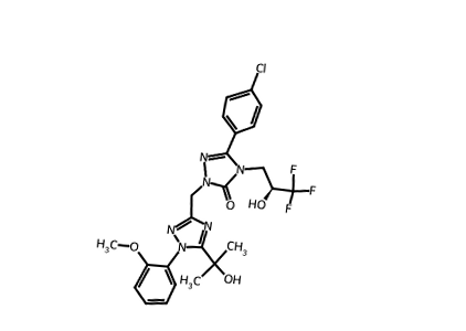 COc1ccccc1-n1nc(Cn2nc(-c3ccc(Cl)cc3)n(C[C@H](O)C(F)(F)F)c2=O)nc1C(C)(C)O